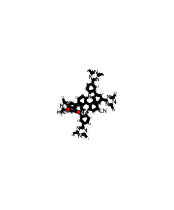 Cc1nc(C)nc(-c2ccc3c(c2)c2cc(-c4nc(C)nc(C)n4)ccc2n3-c2ccc(-c3ccc(C(F)(F)F)cc3C#N)cc2-c2ccc(C#N)cc2-n2c3ccc(-c4nc(C)nc(C)n4)cc3c3cc(-c4nc(C)nc(C)n4)ccc32)n1